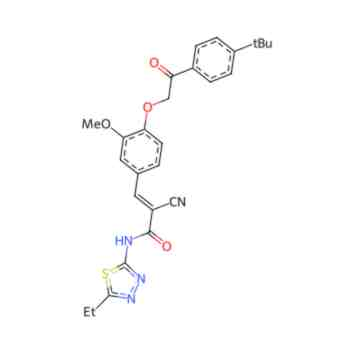 CCc1nnc(NC(=O)/C(C#N)=C/c2ccc(OCC(=O)c3ccc(C(C)(C)C)cc3)c(OC)c2)s1